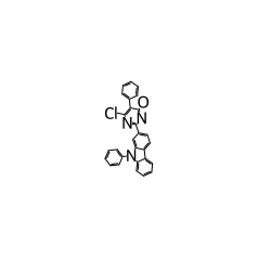 Clc1nc(-c2ccc3c4ccccc4n(-c4ccccc4)c3c2)nc2oc3ccccc3c12